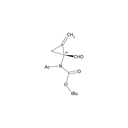 C=C1C[C@@]1(C=O)N(C(C)=O)C(=O)OC(C)(C)C